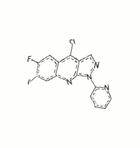 Fc1cc2nc3c(cnn3-c3ccccn3)c(Cl)c2cc1F